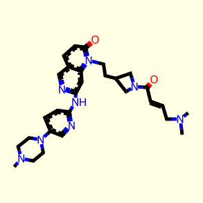 CN(C)C/C=C/C(=O)N1CC(CCn2c(=O)ccc3cnc(Nc4ccc(N5CCN(C)CC5)cn4)cc32)C1